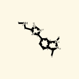 CNCc1nc(-c2ccc3c(C)nn(C)c3c2)no1